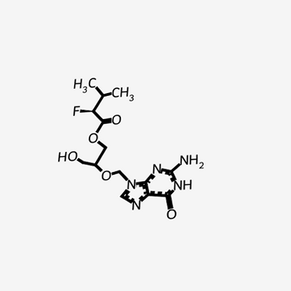 CC(C)[C@H](F)C(=O)OCC(CO)OCn1cnc2c(=O)[nH]c(N)nc21